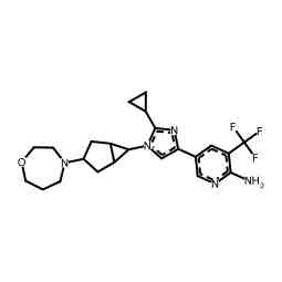 Nc1ncc(-c2cn(C3C4CC(N5CCCOCC5)CC43)c(C3CC3)n2)cc1C(F)(F)F